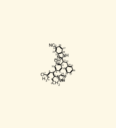 C=C/C(=C(\C=C(/C)Cl)c1ccc(C(Cc2ccccc2)c2nc3cc(C#N)ccc3[nH]2)[n+](O)c1)n1cnnn1